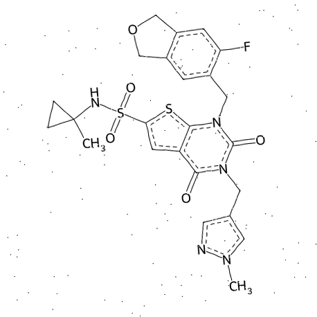 Cn1cc(Cn2c(=O)c3cc(S(=O)(=O)NC4(C)CC4)sc3n(Cc3cc4c(cc3F)COC4)c2=O)cn1